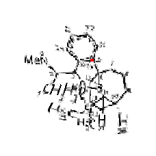 CN[C@H](C)[C@H](OB1[C@H]2CCC[C@@H](CCC2)[C@@H]1[Si](C)(C)C)c1ccccc1